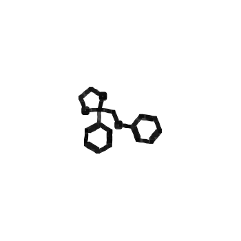 c1ccc(OCC2(c3ccccc3)OCCO2)cc1